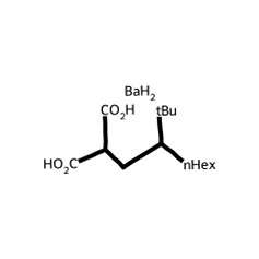 CCCCCCC(CC(C(=O)O)C(=O)O)C(C)(C)C.[BaH2]